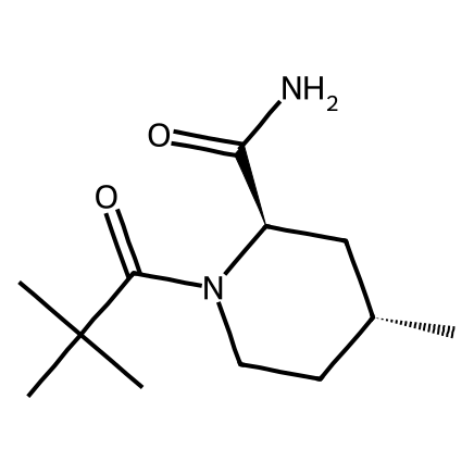 C[C@@H]1CCN(C(=O)C(C)(C)C)[C@@H](C(N)=O)C1